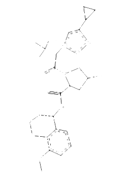 CC(C)(C)[C@@H](C(=O)N1CC(O)CC1C(=O)NC1CCOc2c(SF)cccc21)n1cc(C2CC2)nn1